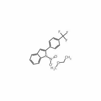 CCOC.O=[N+]([O-])n1c(-c2ccc(C(F)(F)F)cc2)cc2ccccc21